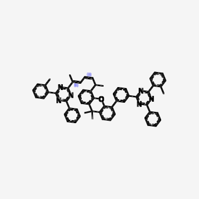 C/C(=C\C=C/C(C)c1cccc2c1Oc1c(-c3cccc(-c4nc(-c5ccccc5)nc(-c5ccccc5C)n4)c3)cccc1C2(C)C)c1nc(-c2ccccc2)nc(-c2ccccc2C)n1